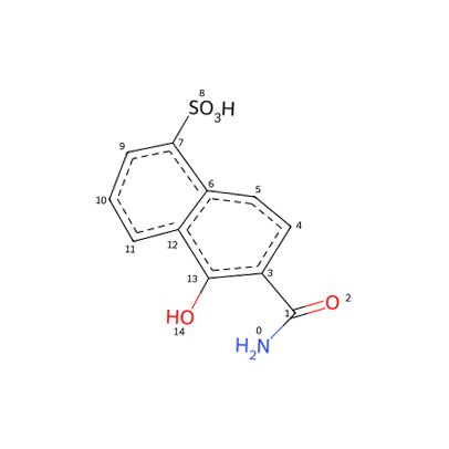 NC(=O)c1ccc2c(S(=O)(=O)O)cccc2c1O